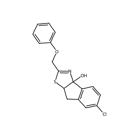 OC12N=C(COc3ccccc3)SC1Cc1cc(Cl)ccc12